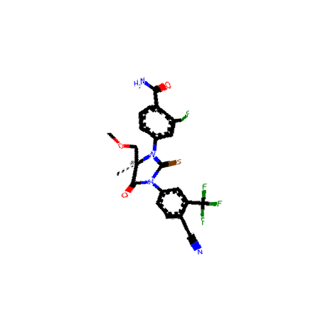 COC[C@]1(C)C(=O)N(c2ccc(C#N)c(C(F)(F)F)c2)C(=S)N1c1ccc(C(N)=O)c(F)c1